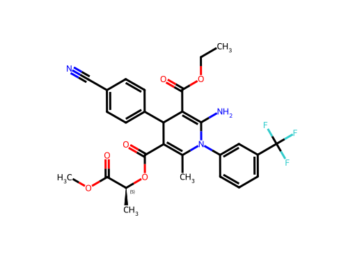 CCOC(=O)C1=C(N)N(c2cccc(C(F)(F)F)c2)C(C)=C(C(=O)O[C@@H](C)C(=O)OC)C1c1ccc(C#N)cc1